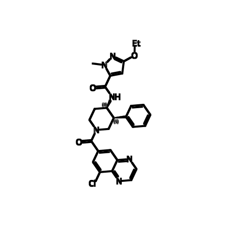 CCOc1cc(C(=O)N[C@@H]2CCN(C(=O)c3cc(Cl)c4nccnc4c3)C[C@@H]2c2ccccc2)n(C)n1